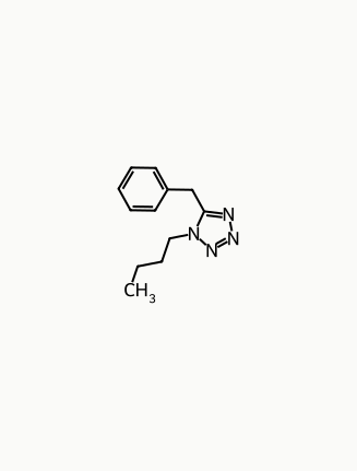 CCCCn1nnnc1Cc1ccccc1